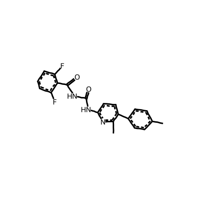 Cc1ccc(-c2ccc(NC(=O)NC(=O)c3c(F)cccc3F)nc2C)cc1